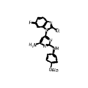 CCc1nc2ccc(F)cc2n1-c1cc(N)nc(Nc2ccc(OC)cc2)n1